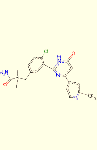 CC(C)(Cc1ccc(Cl)c(-c2nc(-c3ccnc(C(F)(F)F)c3)cc(=O)[nH]2)c1)C(N)=O